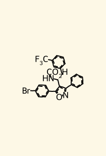 O=C(O)N[C@H](Cc1cccc(C(F)(F)F)c1)c1c(-c2ccccc2)noc1-c1ccc(Br)cc1